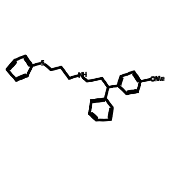 COc1ccc(C(CCNCCCSc2ccccc2)c2ccccc2)cc1